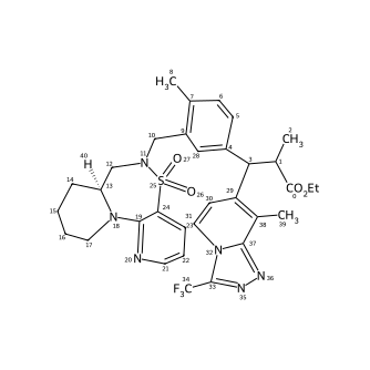 CCOC(=O)C(C)C(c1ccc(C)c(CN2C[C@@H]3CCCCN3c3ncccc3S2(=O)=O)c1)c1ccn2c(C(F)(F)F)nnc2c1C